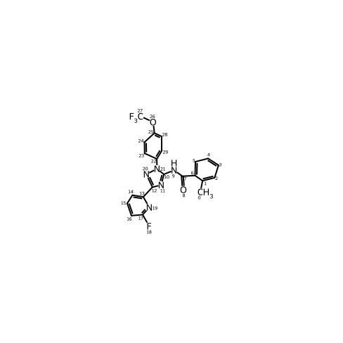 Cc1ccccc1C(=O)Nc1nc(-c2cccc(F)n2)nn1-c1ccc(OC(F)(F)F)cc1